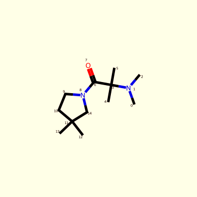 CN(C)C(C)(C)C(=O)N1CCC(C)(C)C1